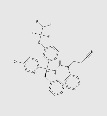 N#CCCN(C(=O)N[C@@](Cc1ccccc1)(c1cccc(OC(F)(F)C(F)F)c1)c1ccc(Cl)cn1)c1ccccc1